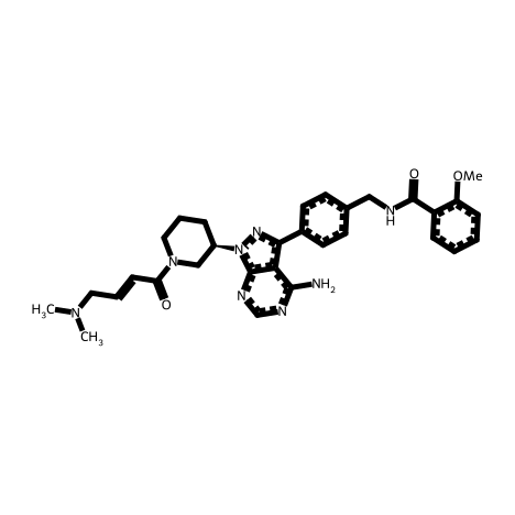 COc1ccccc1C(=O)NCc1ccc(-c2nn([C@@H]3CCCN(C(=O)C=CCN(C)C)C3)c3ncnc(N)c23)cc1